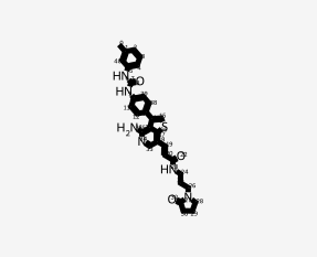 Cc1cccc(NC(=O)Nc2ccc(-c3csc4c(/C=C/C(=O)NCCCN5CCCC5=O)cnc(N)c34)cc2)c1